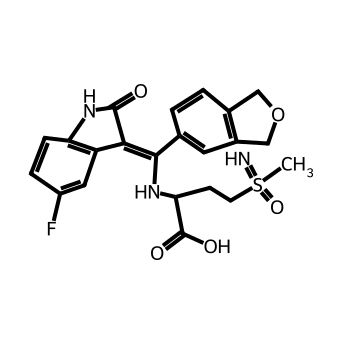 CS(=N)(=O)CCC(NC(=C1C(=O)Nc2ccc(F)cc21)c1ccc2c(c1)COC2)C(=O)O